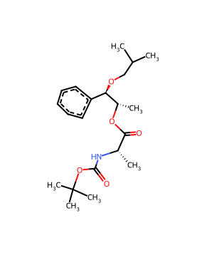 CC(C)CO[C@H](c1ccccc1)[C@H](C)OC(=O)[C@H](C)NC(=O)OC(C)(C)C